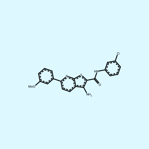 COc1cccc(-c2ccc3c(N)c(C(=O)Nc4cccc(Cl)c4)sc3n2)c1